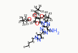 CCCCCn1cc(-c2nc(N)c3ncn([C@@H]4O[C@H](CO[Si](C)(C)C(C)(C)C)[C@@H](O[Si](C)(C)C(C)(C)C)[C@@H]4O[Si](C)(C)C(C)(C)C)c3n2)cn1